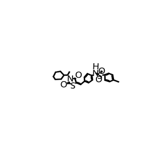 Cc1ccc(S(=O)(=O)Nc2ccc(C=C3SC(=O)N(C(C)C4CCCCC4)C3=O)cc2)cc1